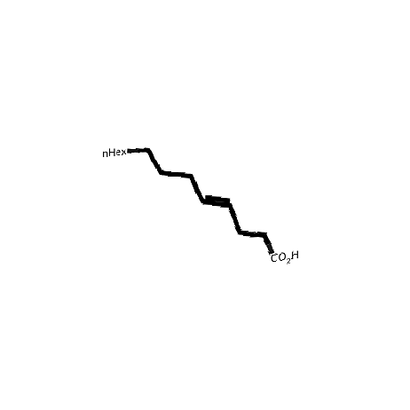 CCCCCCCCCC=CCCC(=O)O